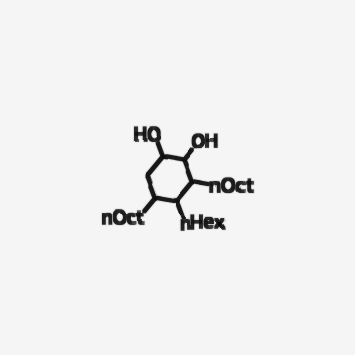 CCCCCCCCC1CC(O)C(O)C(CCCCCCCC)C1CCCCCC